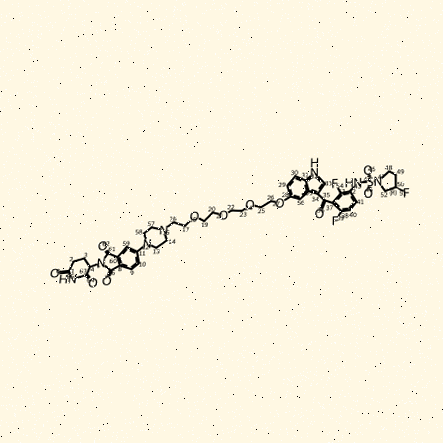 O=C1CCC(N2C(=O)c3ccc(N4CCN(CCOCCOCCOCCOc5ccc6[nH]cc(C(=O)c7c(F)ccc(NS(=O)(=O)N8CC[C@@H](F)C8)c7F)c6c5)CC4)cc3C2=O)C(=O)N1